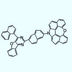 c1ccc2c(-c3nc(-c4ccc5cc(-n6c7ccc8cccc9oc%10cccc%11ccc6c(c%11%10)c7c89)ccc5c4)nc4c3oc3ccccc34)cccc2c1